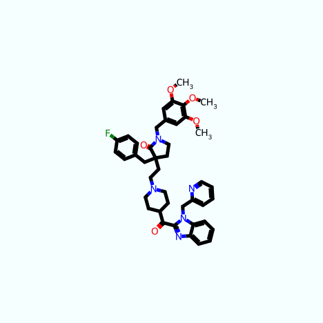 COc1cc(CN2CCC(CCN3CCC(C(=O)c4nc5ccccc5n4Cc4ccccn4)CC3)(Cc3ccc(F)cc3)C2=O)cc(OC)c1OC